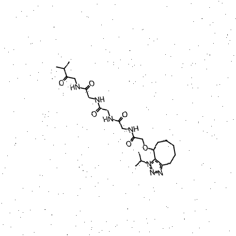 CC(C)C(=O)CNC(=O)CNC(=O)CNC(=O)CNC(=O)COC1CCCCCc2nnn(C(C)C)c21